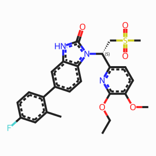 CCOc1nc([C@@H](CS(C)(=O)=O)n2c(=O)[nH]c3cc(-c4ccc(F)cc4C)ccc32)ccc1OC